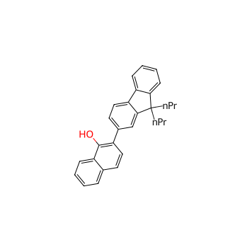 CCCC1(CCC)c2ccccc2-c2ccc(-c3ccc4ccccc4c3O)cc21